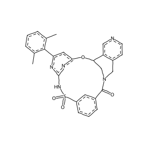 Cc1cccc(C)c1-c1cc2nc(n1)NS(=O)(=O)c1cccc(c1)C(=O)N1Cc3ccncc3C(C1)O2